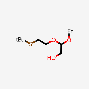 CCOC(CO)OCCSC(C)(C)C